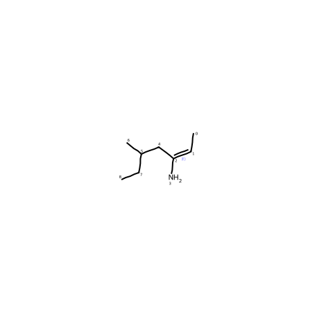 C/C=C(/N)CC(C)CC